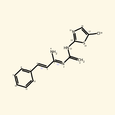 C=C(/N=C(N)/C=C/c1ccccc1)Nc1ncc(Cl)s1